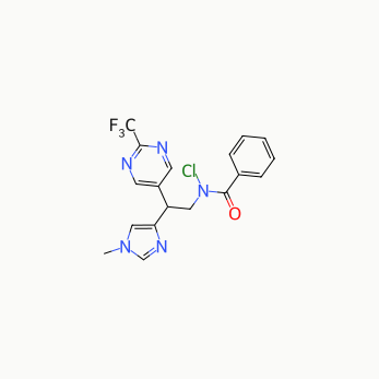 Cn1cnc(C(CN(Cl)C(=O)c2ccccc2)c2cnc(C(F)(F)F)nc2)c1